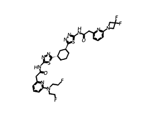 O=C(Cc1cccc(N(CCF)CCF)n1)Nc1nnc([C@H]2CCC[C@H](c3nnc(NC(=O)Cc4cccc(N5CC(F)(F)C5)n4)s3)C2)s1